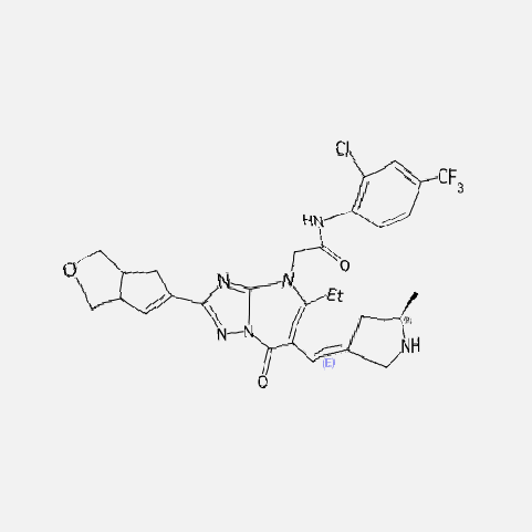 CCc1c(/C=C2/CN[C@H](C)C2)c(=O)n2nc(C3=CC4COCC4C3)nc2n1CC(=O)Nc1ccc(C(F)(F)F)cc1Cl